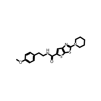 COc1ccc(CCNC(=O)c2cc3nc(N4CCCCC4)sc3s2)cc1